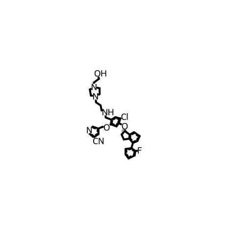 N#Cc1cncc(COc2cc(O[C@H]3CCc4c(-c5ccccc5F)cccc43)c(Cl)cc2CNCCCN2CCN(CCO)CC2)c1